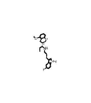 CCC(NCCCc1c[nH]c2ccc(F)cc12)[C@H]1COc2cccc(OC)c2C1